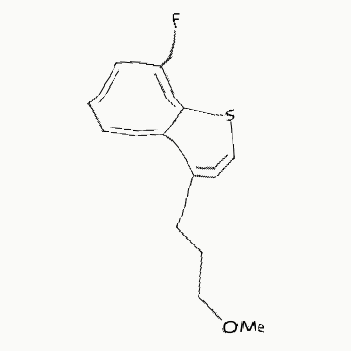 COCCCc1csc2c(F)cccc12